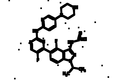 CC(C)n1nc(NC=O)c2c(F)c(-c3nc(Nc4ccc(N5CCNCC5)cn4)ncc3F)ccc21.Cl